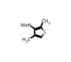 CNc1c(C)csc1C